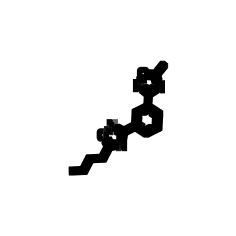 CCCCc1nc(-c2cccc(-c3noc(C)n3)c2)no1